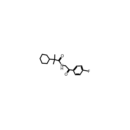 CC(C)(C(=O)NCC(=O)c1ccc(F)cc1)C1CCCCC1